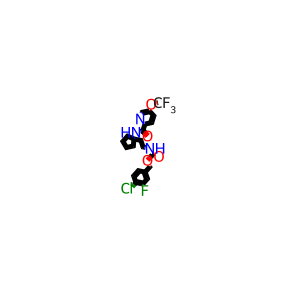 O=C(NCCC1(NC(=O)c2ccc(OC(F)(F)F)cn2)CCCC1)OCc1ccc(Cl)c(F)c1